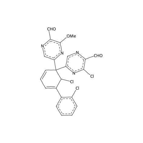 COc1nc(C2(c3cnc(C=O)c(Cl)n3)C=CC=C(c3ccccc3Cl)C2Cl)cnc1C=O